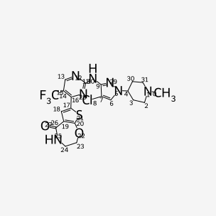 CN1CCC(n2cc(Cl)c(Nc3ncc(C(F)(F)F)c(-c4cc5c(s4)OCCNC5=O)n3)n2)CC1